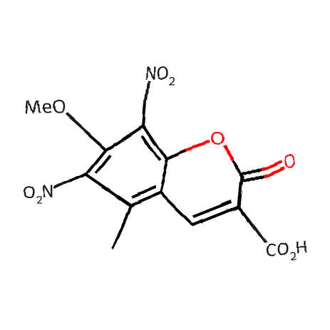 COc1c([N+](=O)[O-])c(C)c2cc(C(=O)O)c(=O)oc2c1[N+](=O)[O-]